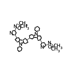 CC1(C)CN=C(c2cncc(-c3ccc4c(c3)c3cc(-c5ccc6c(c5)c5cc(-c7cncc(C8=NCC(C)(C)O8)c7)ccc5n6-c5ccccc5)ccc3n4-c3ccccc3)c2)O1